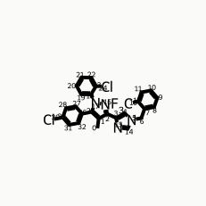 Cc1c(-c2cn(Cc3ccccc3C(F)(F)F)cn2)nn(-c2ccccc2Cl)c1-c1ccc(Cl)cc1